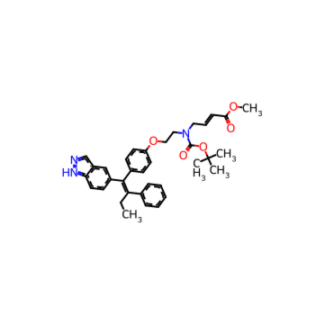 CC/C(=C(/c1ccc(OCCN(C/C=C/C(=O)OC)C(=O)OC(C)(C)C)cc1)c1ccc2[nH]ncc2c1)c1ccccc1